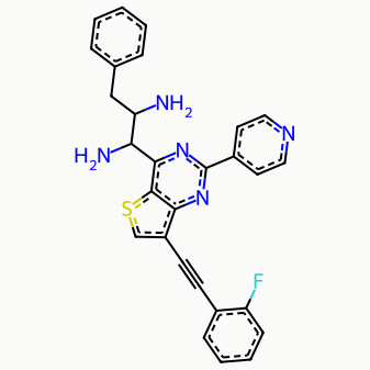 NC(Cc1ccccc1)C(N)c1nc(-c2ccncc2)nc2c(C#Cc3ccccc3F)csc12